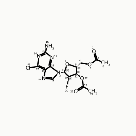 CC(=O)OC[C@H]1O[C@@H](n2cnc3c(Cl)nc(N)nc32)[C@H](F)[C@@H]1OC(C)=O